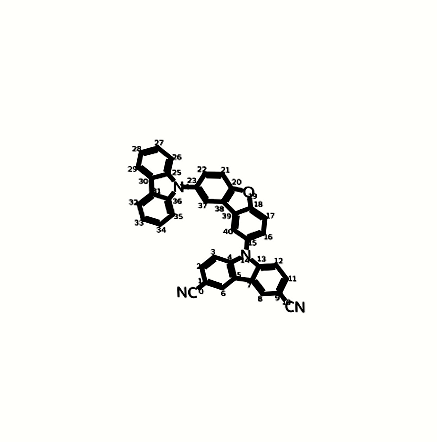 N#Cc1ccc2c(c1)c1cc(C#N)ccc1n2-c1ccc2oc3ccc(-n4c5ccccc5c5ccccc54)cc3c2c1